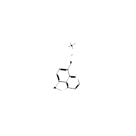 CC(C)(C)[S@+]([O-])/N=C/c1ccc2c3c(ccnc13)NC2=O